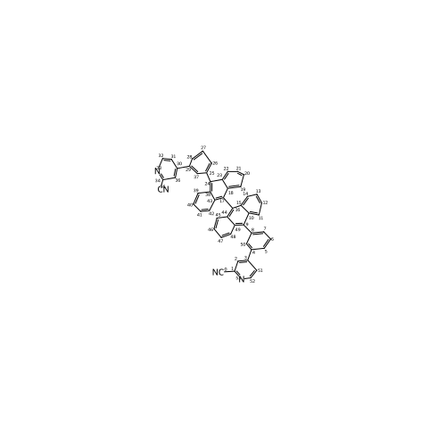 N#Cc1cc(-c2cccc(-c3c4ccccc4c(-c4c5ccccc5c(-c5cccc(-c6ccnc(C#N)c6)c5)c5ccccc45)c4ccccc34)c2)ccn1